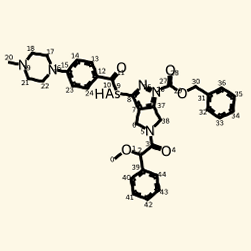 COC(C(=O)N1Cc2c([AsH]C(=O)c3ccc(N4CCN(C)CC4)cc3)nn(C(=O)OCc3ccccc3)c2C1)c1ccccc1